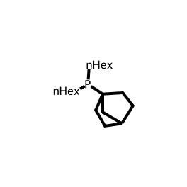 CCCCCCP(CCCCCC)C12CCC(CC1)C2